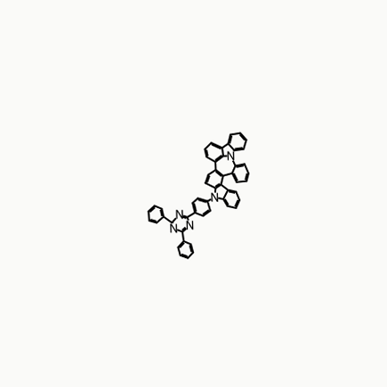 c1ccc(-c2nc(-c3ccccc3)nc(-c3ccc(-n4c5ccccc5c5c6c(ccc54)-c4cccc5c7ccccc7n(c45)-c4ccccc4-6)cc3)n2)cc1